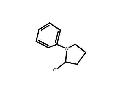 Cl[C]1CCCN1c1ccccc1